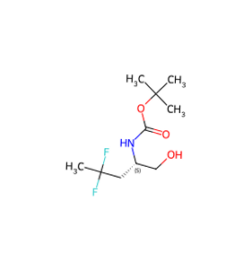 CC(F)(F)C[C@@H](CO)NC(=O)OC(C)(C)C